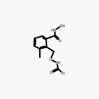 CCC(=O)NOCc1c(C)cccc1C(=O)NO